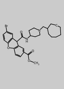 COC(=O)c1ccc2c(c1)C(C(=O)NC1CCN(CC3CCCCCCC3)CC1)c1cc(Br)ccc1O2